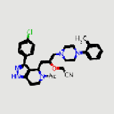 CC(=O)N1CCc2[nH]nc(-c3ccc(Cl)cc3)c2C1CC(CN1CCN(c2ccccc2C)CC1)OCC#N